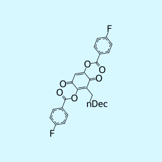 CCCCCCCCCCCC1=C(OC(=O)c2ccc(F)cc2)C(=O)C=C(OC(=O)c2ccc(F)cc2)C1=O